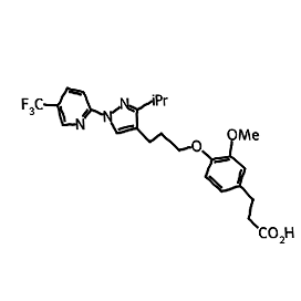 COc1cc(CCC(=O)O)ccc1OCCCc1cn(-c2ccc(C(F)(F)F)cn2)nc1C(C)C